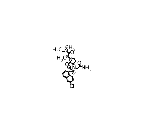 CCN(C)C(=O)[C@H](C)N1CC[C@H](N(CC(N)=O)S(=O)(=O)c2cccc3cc(Cl)ccc23)C1=O